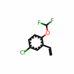 C=Cc1cc(Cl)ccc1OC(F)F